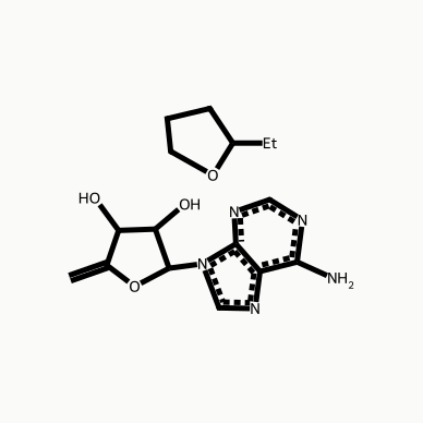 C=C1OC(n2cnc3c(N)ncnc32)C(O)C1O.CCC1CCCO1